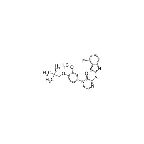 COc1cc(-n2ccnc(Sc3nc4cccc(F)c4s3)c2=O)ccc1OCC(C)(C)C